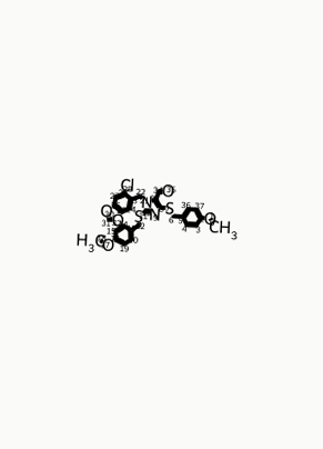 COc1ccc(CSc2nc(SCc3ccc(OC)cc3)n(Cc3cc4c(cc3Cl)OCO4)c2C=O)cc1